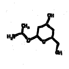 BC(C)OC1CC(O)CC(CO)O1